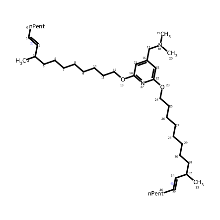 CCCCC/C=C/C(C)CCCCCCCCOc1cc(CN(C)C)cc(OCCCCCCCCC(C)/C=C/CCCCC)n1